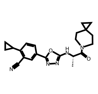 C[C@H](Nc1nnc(-c2ccc(C3CC3)c(C#N)c2)o1)C(=O)N1CCC2(CC1)CC2